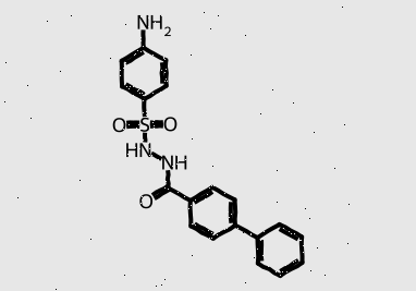 Nc1ccc(S(=O)(=O)NNC(=O)c2ccc(-c3ccccc3)cc2)cc1